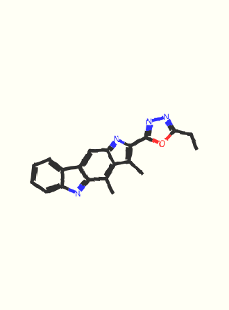 CCc1nnc(C2=C(C)c3c(C)c4c(cc3=N2)-c2ccccc2N=4)o1